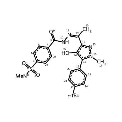 CNS(=O)(=O)c1ccc(C(=O)N/N=C(/C)c2nn(C)c(-c3ccc(C(C)(C)C)cc3)c2O)cc1